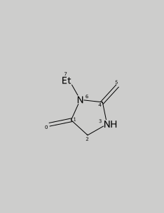 C=C1CNC(=C)N1CC